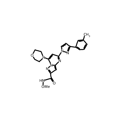 CONC(=O)c1cc2nc(-n3ccc(-c4cccc(C)c4)n3)cc(N3CCOCC3)n2n1